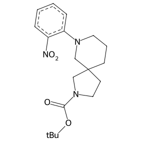 CC(C)(C)OC(=O)N1CCC2(CCCN(c3ccccc3[N+](=O)[O-])C2)C1